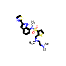 CCN(CCN(C)Cc1sccc1S(=O)(=O)N(C)c1cccc2cc(-c3nccs3)[nH]c12)C(C)=O